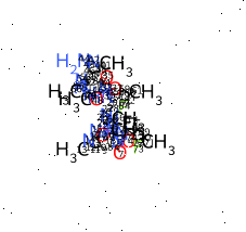 CC[C@@H](NC(=O)N1C(=O)[C@H](Cc2cc(C)nc(N)c2)[C@H]1C(=O)N(C)c1cc[n+](CC[C@@H](NC(=O)N2C(=O)[C@H](Cc3cc(C)nc(N)c3)[C@H]2C(=O)N(C)c2ccnn2C)c2ccc(C)cc2F)n1C)c1ccc(C)c(F)c1